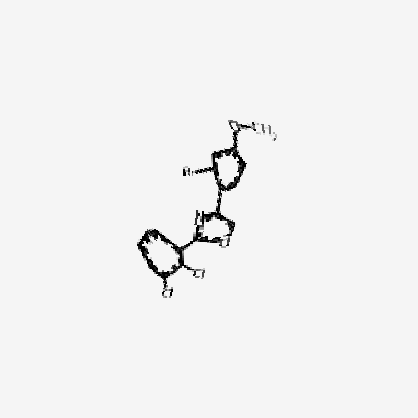 COc1ccc(-c2coc(-c3cccc(Cl)c3Cl)n2)c(Br)c1